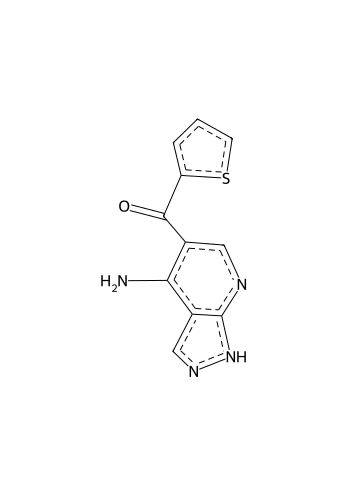 Nc1c(C(=O)c2cccs2)cnc2[nH]ncc12